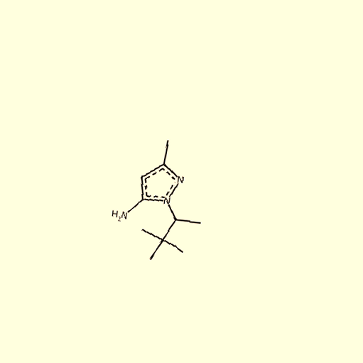 Cc1cc(N)n(C(C)C(C)(C)C)n1